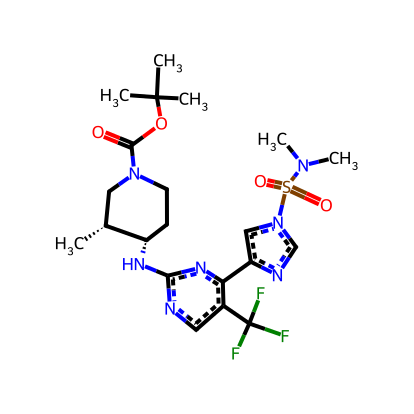 C[C@@H]1CN(C(=O)OC(C)(C)C)CC[C@@H]1Nc1ncc(C(F)(F)F)c(-c2cn(S(=O)(=O)N(C)C)cn2)n1